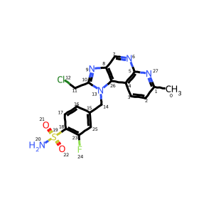 Cc1ccc2c(ncc3nc(CCl)n(Cc4ccc(S(N)(=O)=O)c(F)c4)c32)n1